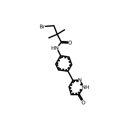 CC(C)(CBr)C(=O)Nc1ccc(-c2ccc(=O)[nH]n2)cc1